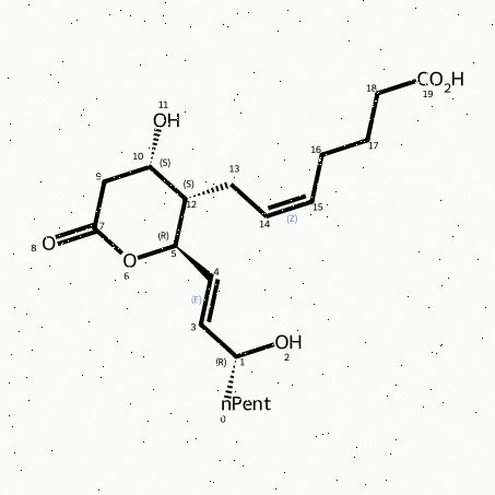 CCCCC[C@@H](O)/C=C/[C@H]1OC(=O)C[C@H](O)[C@@H]1C/C=C\CCCC(=O)O